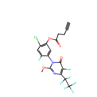 C#CCCC(=O)Oc1cc(-n2c(OC)nc(C(F)(F)C(F)(F)F)c(F)c2=O)c(F)cc1Cl